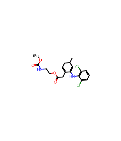 CC1C=C(Nc2c(Cl)cccc2Cl)C(CC(=O)OCCNC(=O)OC(C)(C)C)=CC1